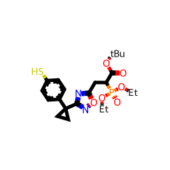 CCOP(=O)(OCC)C(Cc1nc(C2(c3ccc(S)cc3)CC2)no1)C(=O)OC(C)(C)C